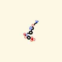 COC(=O)Oc1ccc2oc(=O)n(Cc3cccc(-c4ccc(OCCCN(C)C)nn4)c3)c2c1